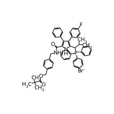 CC(C)C(c1[nH]c(C(=O)NCc2ccc(COC(=O)C(C)(C)C)cc2)c(-c2ccccc2)c1-c1ccc(F)cc1)[P+](c1ccccc1)(c1ccccc1)c1ccccc1.[Br-]